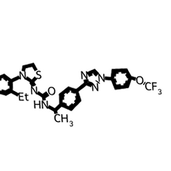 CCc1ccccc1N1CCS/C1=N\C(=O)NC(C)c1ccc(-c2ncn(-c3ccc(OC(F)(F)F)cc3)n2)cc1